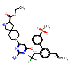 C/C=C/c1ccc([C@@H](Oc2cc(N3CCC4(CC3)CNC(C(=O)OCC)C4)nc(N)n2)C(F)(F)F)c(-c2cccc(S(C)(=O)=O)c2)c1